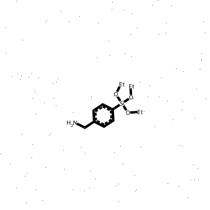 CCO[Si](OCC)(OCC)c1ccc(CN)cc1